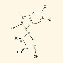 Cc1c(Cl)n([C@@H]2O[C@H](CO)[C@@H](O)[C@H]2O)c2cc(Cl)c(Cl)cc12